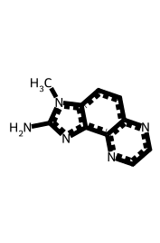 Cn1c(N)nc2c3nccnc3ccc21